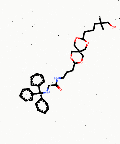 CC(C)(CO)CCCC1OCC2(COC(CCCNC(=O)CNC(c3ccccc3)(c3ccccc3)c3ccccc3)OC2)CO1